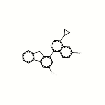 Cc1cc2c(c(-c3ncc(C4CC4)c4cc(C(C)C)ccc34)c1)Cc1ccccc1-2